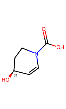 O=C(O)N1C=C[C@@H](O)CC1